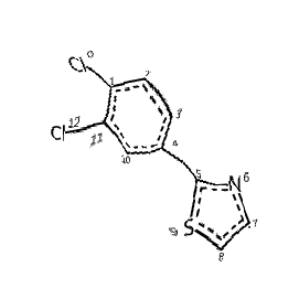 Clc1ccc(-c2n[c]cs2)cc1Cl